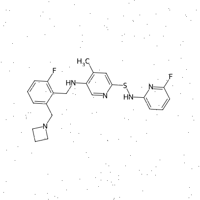 Cc1cc(SNc2cccc(F)n2)ncc1NCc1c(F)cccc1CN1CCC1